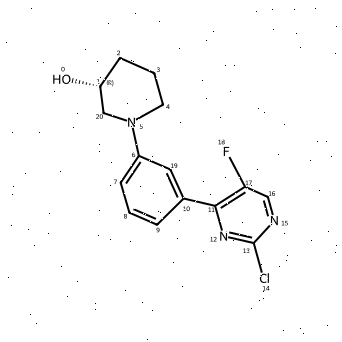 O[C@@H]1CCCN(c2cccc(-c3nc(Cl)ncc3F)c2)C1